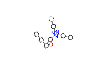 c1ccc(-c2ccc(-c3nc(-c4ccc(C5CCCCC5)cc4)nc(-c4ccc5c(c4)oc4cccc(-c6ccc(-c7ccccc7)cc6)c45)n3)cc2)cc1